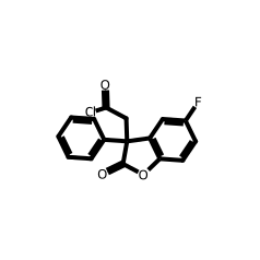 O=C(Cl)CC1(c2ccccc2)C(=O)Oc2ccc(F)cc21